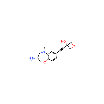 CN1C[C@H](N)COc2ccc(C#CC3(O)COC3)cc21